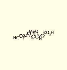 COCCn1c(Cc2cnc(-c3cccc(OCc4ccc(C#N)cc4F)n3)nc2)nc2ccc(C(=O)O)cc21